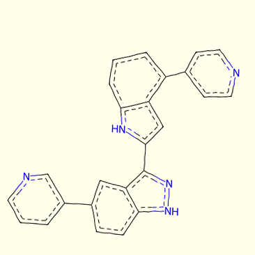 c1cncc(-c2ccc3[nH]nc(-c4cc5c(-c6ccncc6)cccc5[nH]4)c3c2)c1